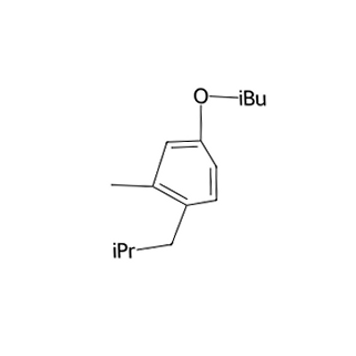 CCC(C)Oc1ccc(CC(C)C)c(C)c1